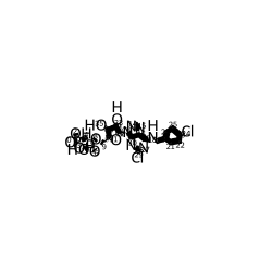 O=P(O)(O)CP(=O)(O)OC[C@H]1O[C@@H](n2nnc3c(NCc4ccc(Cl)cc4)nc(Cl)nc32)[C@H](O)[C@@H]1O